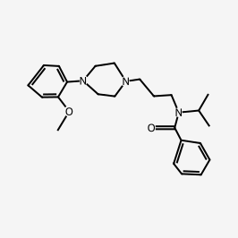 COc1ccccc1N1CCN(CCCN(C(=O)c2ccccc2)C(C)C)CC1